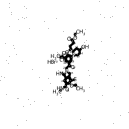 Br.CCOC(=O)CCCOc1c(N2CCC(O)CC2)cc(C(=O)CN2Cc3c(cc(C(=O)NC)c(OCC)c3F)C2=N)cc1C(C)(C)C